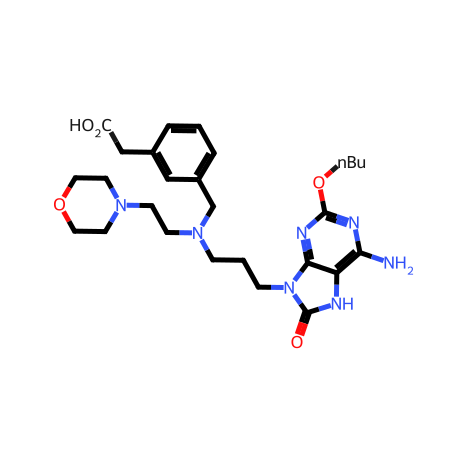 CCCCOc1nc(N)c2[nH]c(=O)n(CCCN(CCN3CCOCC3)Cc3cccc(CC(=O)O)c3)c2n1